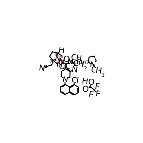 CN1CCC[C@H]1COc1nc2c(c(N3C[C@H]4CC[C@@](CC#N)(C3)N4C(=O)OC(C)(C)C)n1)CCN(c1cccc3cccc(Cl)c13)C2.O=C(O)C(F)(F)F